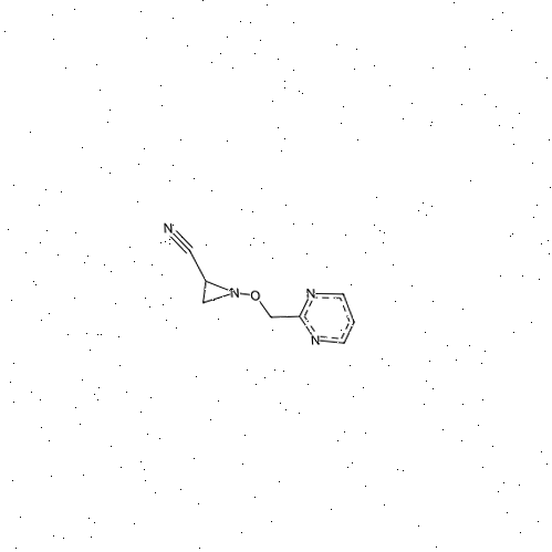 N#CC1CN1OCc1ncccn1